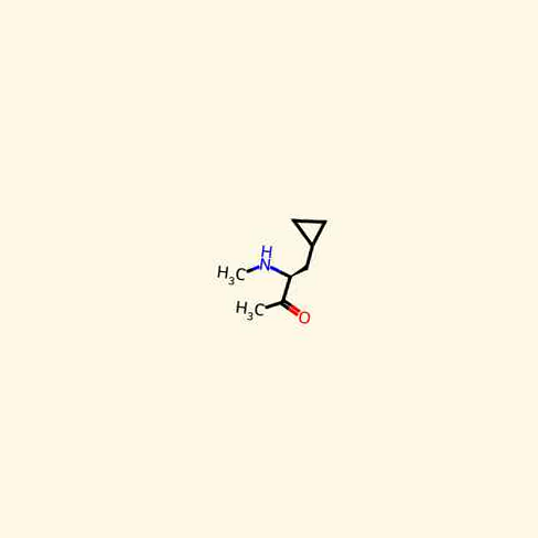 CN[C@@H](CC1CC1)C(C)=O